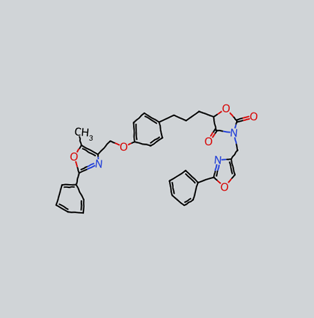 Cc1oc(-c2ccccc2)nc1COc1ccc(CCCC2OC(=O)N(Cc3coc(-c4ccccc4)n3)C2=O)cc1